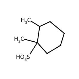 CC1CCCCC1(C)S(=O)(=O)O